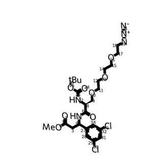 COC(=O)CC(NC(=O)[C@H](COCCOCCOCCN=[N+]=[N-])NC(=O)OC(C)(C)C)c1cc(Cl)cc(Cl)c1